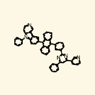 c1ccc(-c2cc(-c3cccnc3)nc(-c3cccc(-c4c5ccccc5c(-c5ccc6c(c5)c5cnccc5n6-c5ccccc5)c5ccccc45)c3)n2)cc1